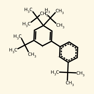 CC(C)(C)C1=CC(C(C)(C)C)(C(C)(C)C)C=C(c2[c]c(C(C)(C)C)ccc2)[CH]1